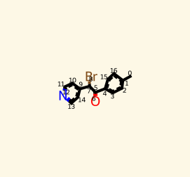 Cc1ccc(C(=O)C(Br)c2ccncc2)cc1